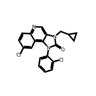 O=c1n(CC2CC2)c2cnc3ccc(Cl)cc3c2n1-c1ccccc1Cl